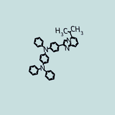 CC(C)c1cccc2nc(-c3ccc(N(c4ccccc4)c4ccc(N(c5ccccc5)c5ccccc5)cc4)cc3)cn12